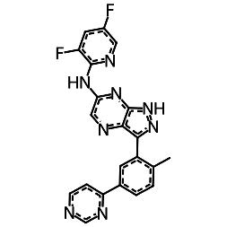 Cc1ccc(-c2ccncn2)cc1-c1n[nH]c2nc(Nc3ncc(F)cc3F)cnc12